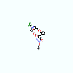 C[Si](C)(C)CCOCOc1cc(-c2ccccc2COCCC2CCN(CC(F)(F)F)CC2)cc2c(=O)n(COCC[Si](C)(C)C)cnc12